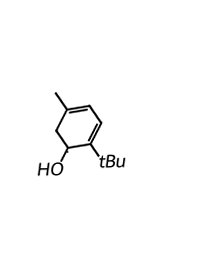 CC1=CC=C(C(C)(C)C)[C](O)C1